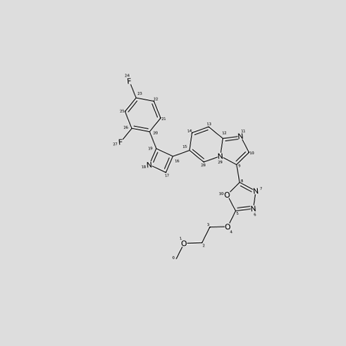 COCCOc1nnc(-c2cnc3ccc(C4=CN=C4c4ccc(F)cc4F)cn23)o1